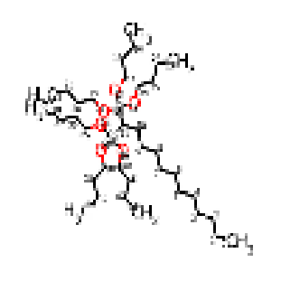 CCCCCCCCCCCC([Si](OCCCC)(OCCCC)OCCCC)[Si](OCCCC)(OCCCC)OCCCC